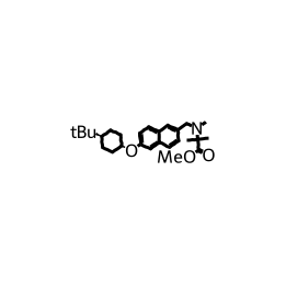 COC(=O)C(C)(C)N(C)Cc1ccc2cc(O[C@H]3CC[C@H](C(C)(C)C)CC3)ccc2c1